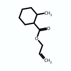 C=CCOC(=O)C1CCCCC1C